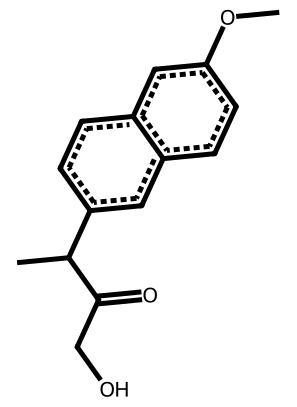 COc1ccc2cc(C(C)C(=O)CO)ccc2c1